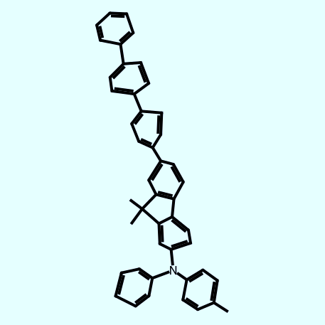 Cc1ccc(N(c2ccccc2)c2ccc3c(c2)C(C)(C)c2cc(-c4ccc(-c5ccc(-c6ccccc6)cc5)cc4)ccc2-3)cc1